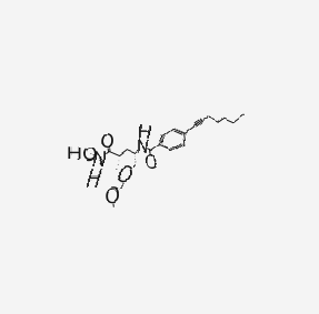 CCCCCC#Cc1ccc(C(=O)N[C@H](COCOC)C[C@H](C)C(=O)NO)cc1